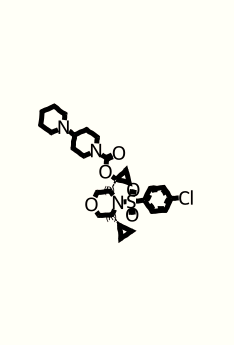 O=C(OC1([C@H]2COC[C@@H](C3CC3)N2S(=O)(=O)c2ccc(Cl)cc2)CC1)N1CCC(N2CCCCC2)CC1